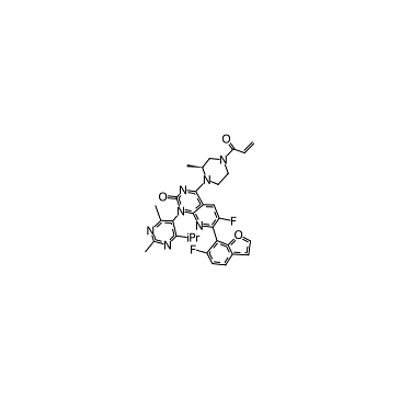 C=CC(=O)N1CCN(c2nc(=O)n(-c3c(C)nc(C)nc3C(C)C)c3nc(-c4c(F)ccc5ccoc45)c(F)cc23)[C@@H](C)C1